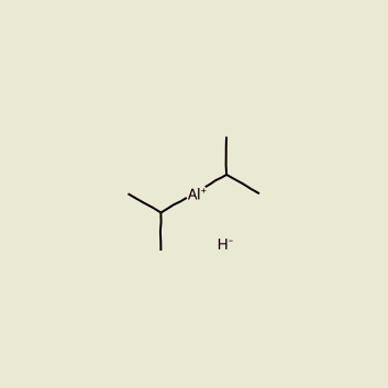 C[CH](C)[Al+][CH](C)C.[H-]